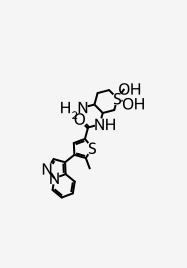 Cc1sc(C(=O)NC2CS(O)(O)CCC2N)cc1-c1cnn2ccccc12